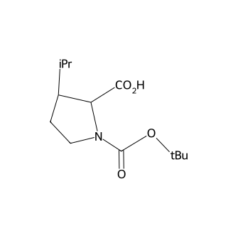 CC(C)C1CCN(C(=O)OC(C)(C)C)C1C(=O)O